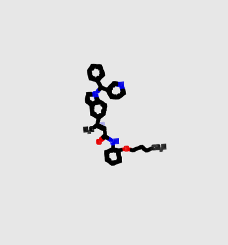 C/C(=C\C(=O)Nc1ccccc1OCCCC(=O)O)c1ccc2c(ccn2C(c2ccccc2)c2cccnc2)c1